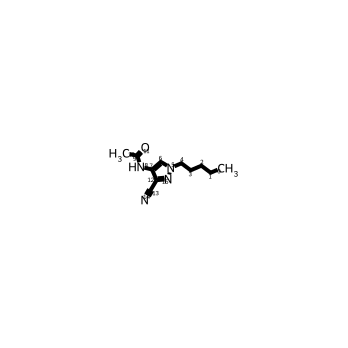 CCCCCn1cc(NC(C)=O)c(C#N)n1